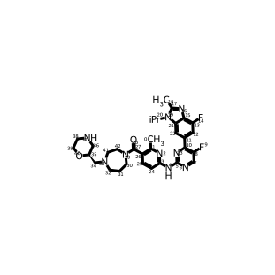 Cc1nc(Nc2ncc(F)c(-c3cc(F)c4nc(C)n(C(C)C)c4c3)n2)ccc1C(=O)N1CCCN(C[C@@H]2CNCCO2)CC1